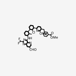 COC(=O)C12CCC(CC1)N(Cc1ccc(-c3cccc(-c4cccc(Nc5nc(C(F)F)nc6cc(C=O)cnc56)c4C)c3Cl)nc1OC)C2